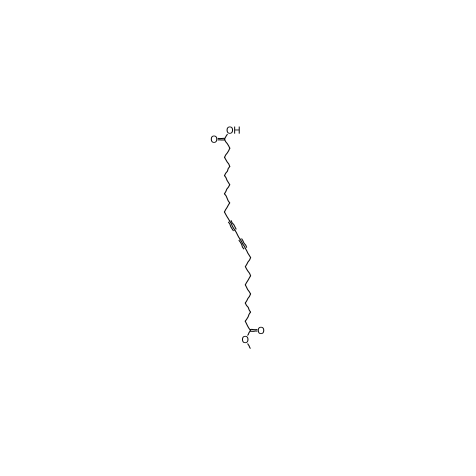 COC(=O)CCCCCCCCC#CC#CCCCCCCCCC(=O)O